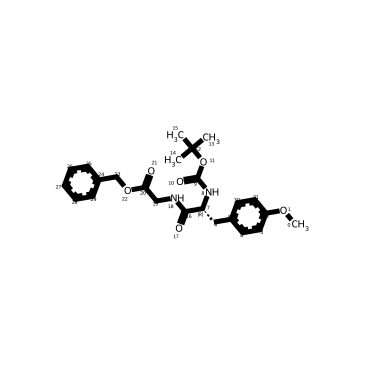 COc1ccc(C[C@@H](NC(=O)OC(C)(C)C)C(=O)NCC(=O)OCc2ccccc2)cc1